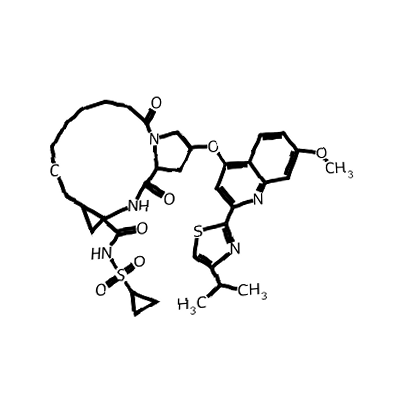 COc1ccc2c(OC3CC4C(=O)NC5(C(=O)NS(=O)(=O)C6CC6)CC5CCCCCCCC(=O)N4C3)cc(-c3nc(C(C)C)cs3)nc2c1